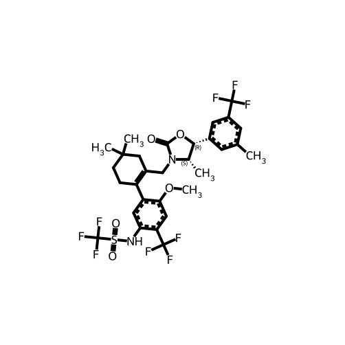 COc1cc(C(F)(F)F)c(NS(=O)(=O)C(F)(F)F)cc1C1=C(CN2C(=O)O[C@H](c3cc(C)cc(C(F)(F)F)c3)[C@@H]2C)CC(C)(C)CC1